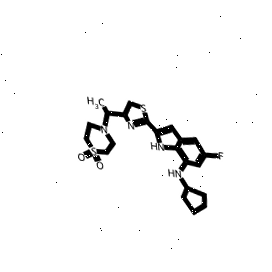 CC(C1CSC(c2cc3cc(F)cc(NC4CCCC4)c3[nH]2)=N1)N1CCS(=O)(=O)CC1